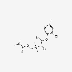 CN(C)C(=O)OCC(C)(C)C(=O)C(Br)Oc1ccc(Cl)cc1Cl